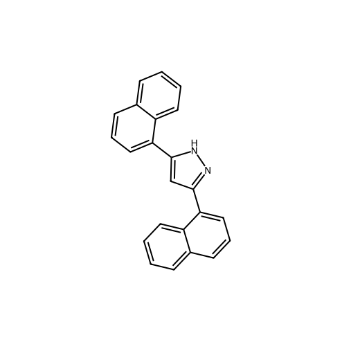 c1ccc2c(-c3cc(-c4cccc5ccccc45)[nH]n3)cccc2c1